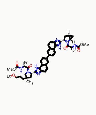 CCOCCC[C@]1(C)C[C@@H](c2nc3ccc4cc(-c5ccc6c(ccc7nc([C@@H]8C[C@@H]9C[C@@H]9N8C(=O)[C@@H](NC(=O)OC)C(C)C)[nH]c76)c5)ccc4c3[nH]2)N(C(=O)[C@@H](NC(=O)OC)C(C)C)C1